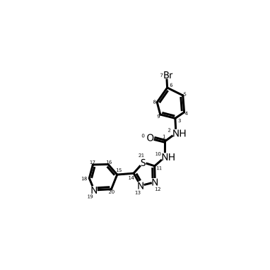 O=C(Nc1ccc(Br)cc1)Nc1nnc(-c2cccnc2)s1